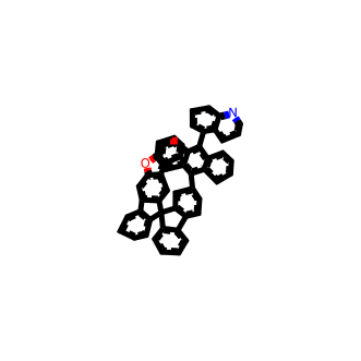 c1ccc2c(c1)-c1ccc(-c3c4ccccc4c(-c4cccc5ncccc45)c4ccccc34)cc1C21c2ccccc2-c2cc3oc4ccccc4c3cc21